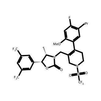 COc1cc(F)c(C(C)C)cc1C1=C(CN2C(=O)O[C@H](c3cc(C(F)(F)F)cc(C(F)(F)F)c3)[C@@H]2C)CN(S(=O)(=O)C(F)(F)F)CC1